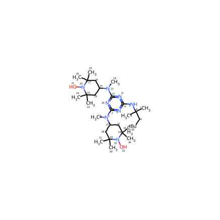 CN(c1nc(NC(C)(C)CC(C)(C)C)nc(N(C)C2CC(C)(C)N(O)C(C)(C)C2)n1)C1CC(C)(C)N(O)C(C)(C)C1